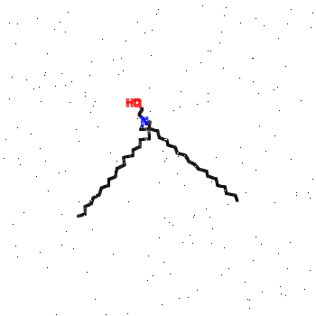 CCCCCCCCCCCCCCCCCCC1(CCCCCCCCCCCCCCCCCC)CN(CCO)C1